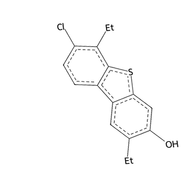 CCc1cc2c(cc1O)sc1c(CC)c(Cl)ccc12